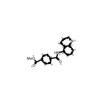 COC(=O)c1ccc(C(=O)Nc2cccc3ncccc23)cc1